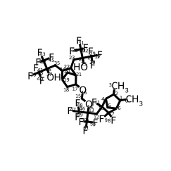 CC1C(C)C2CC1C(F)(F)C2(F)CC(OCOC1CC2CC1C(CC(O)(C(F)(F)F)C(F)(F)F)C2CC(O)(C(F)(F)F)C(F)(F)F)(C(F)(F)F)C(F)(F)F